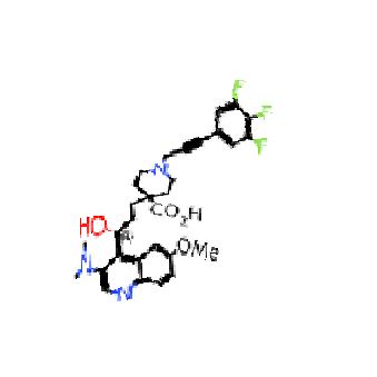 COc1ccc2ncc(N(C)C)c([C@H](O)CCC3(C(=O)O)CCN(CC#Cc4cc(F)c(F)c(F)c4)CC3)c2c1